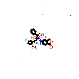 C=C(c1ccccc1)C(O)(CC(C)(C)c1cc(F)ccc1OC)C(=O)Nc1ccc2c(c1)COC2=O